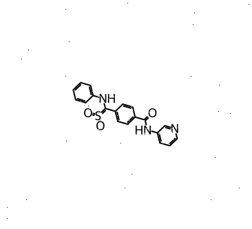 O=C(Nc1cccnc1)c1ccc(C(Nc2ccccc2)=S(=O)=O)cc1